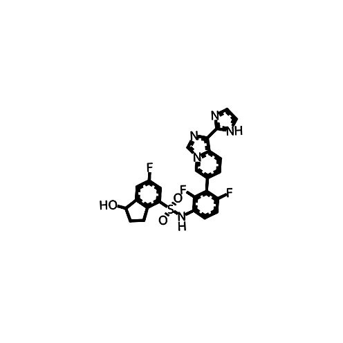 O=S(=O)(Nc1ccc(F)c(-c2ccc3c(-c4ncc[nH]4)ncn3c2)c1F)c1cc(F)cc2c1CCC2O